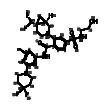 Cc1cc(NC(=O)c2ccc(S(=O)(=O)NCCO)cc2N2CC[C@@]3(C(F)F)C[C@H]3C2)nc(N2CCC(F)(F)CC2)n1